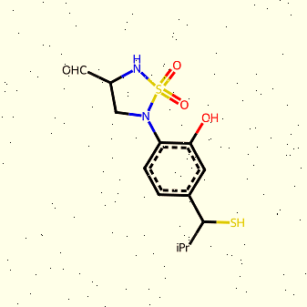 CC(C)C(S)c1ccc(N2CC(C=O)NS2(=O)=O)c(O)c1